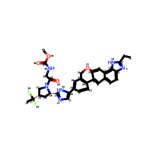 CCc1nc2ccc3cc4c(cc3c2[nH]1)OCc1cc(-c2cnc([C@@H]3C[C@H](C(C)(F)F)CN3C(=O)CNC(=O)OC)[nH]2)ccc1-4